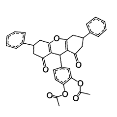 CC(=O)Oc1ccc(C2C3=C(CC(c4ccccc4)CC3=O)OC3=C2C(=O)CC(c2ccccc2)C3)cc1OC(C)=O